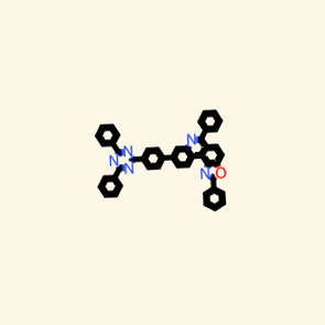 c1ccc(-c2nc(-c3ccccc3)nc(-c3ccc(-c4ccc5c(c4)nc(-c4ccccc4)c4ccc6oc(-c7ccccc7)nc6c45)cc3)n2)cc1